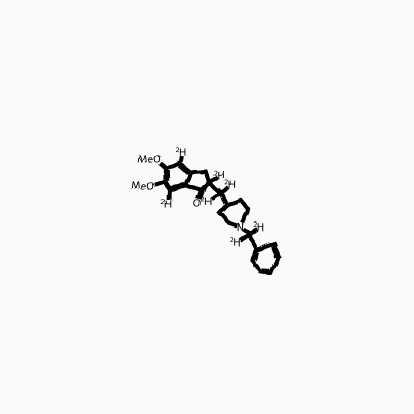 [2H]c1c2c(c([2H])c(OC)c1OC)C(=O)C([2H])(C([2H])([2H])C1CCN(C([2H])([2H])c3ccccc3)CC1)C2